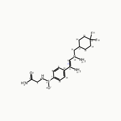 NC(=O)CN[S+]([O-])c1ccc(/C(N)=C/N(N)CC2CCC(F)(F)CC2)cc1